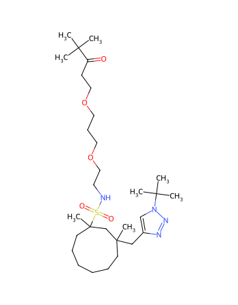 CC1(Cc2cn(C(C)(C)C)nn2)CCCCCCC(C)(S(=O)(=O)NCCOCCCOCCC(=O)C(C)(C)C)C1